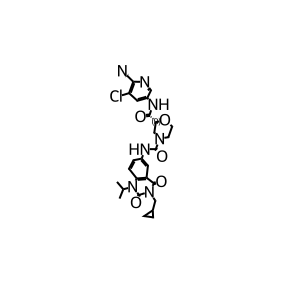 CC(C)n1c(=O)n(CC2CC2)c(=O)c2cc(NC(=O)N3CCO[C@@H](C(=O)Nc4cnc(C#N)c(Cl)c4)C3)ccc21